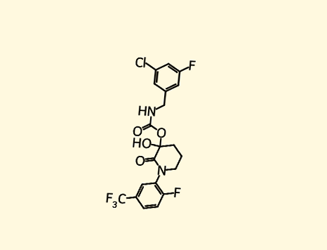 O=C(NCc1cc(F)cc(Cl)c1)OC1(O)CCCN(c2cc(C(F)(F)F)ccc2F)C1=O